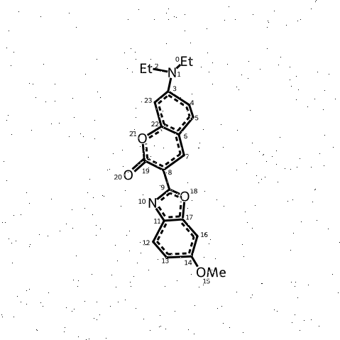 CCN(CC)c1ccc2cc(-c3nc4ccc(OC)cc4o3)c(=O)oc2c1